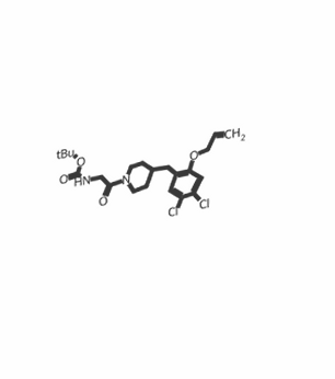 C=CCOc1cc(Cl)c(Cl)cc1CC1CCN(C(=O)CNC(=O)OC(C)(C)C)CC1